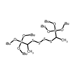 CCC(C)O[Si](OC(C)CC)(OC(C)CC)C(C)SSSSC(C)[Si](OC(C)CC)(OC(C)CC)OC(C)CC